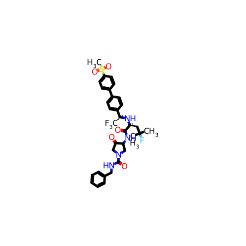 CC(C)(F)C[C@H](N[C@@H](c1ccc(-c2ccc(S(C)(=O)=O)cc2)cc1)C(F)(F)F)C(=O)NC1CN(C(=O)NCc2ccccc2)CC1=O